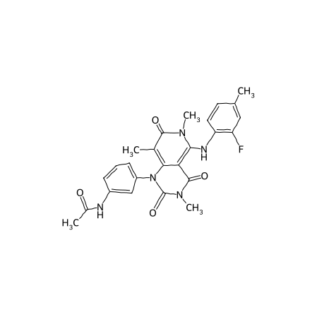 CC(=O)Nc1cccc(-n2c(=O)n(C)c(=O)c3c(Nc4ccc(C)cc4F)n(C)c(=O)c(C)c32)c1